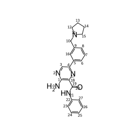 Nc1ncc(-c2cccc(CN3CCCC3)c2)nc1C(=O)Nc1ccccc1